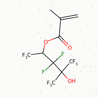 C=C(C)C(=O)OC(C(F)(F)F)C(F)(F)C(O)(C(F)(F)F)C(F)(F)F